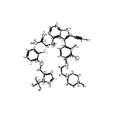 CC#Cc1sc2ncnc(N[C@H](Cc3ccccc3OCc3ccnn3C(C)(C)C)C(=O)O)c2c1-c1ccc(OCCN2CCN(C)CC2)c(Cl)c1C